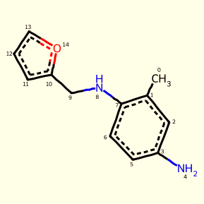 Cc1cc(N)ccc1NCc1ccco1